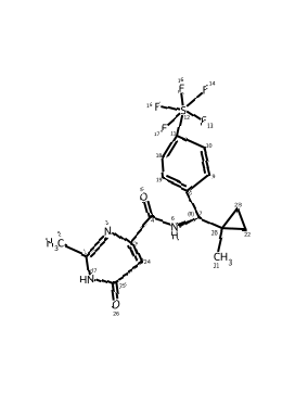 Cc1nc(C(=O)N[C@@H](c2ccc(S(F)(F)(F)(F)F)cc2)C2(C)CC2)cc(=O)[nH]1